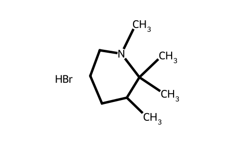 Br.CC1CCCN(C)C1(C)C